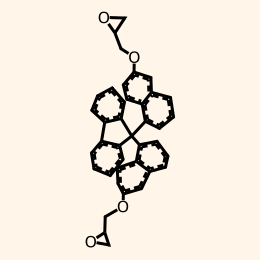 c1ccc2c(c1)-c1ccccc1C2(c1cccc2cc(OCC3CO3)ccc12)c1cccc2cc(OCC3CO3)ccc12